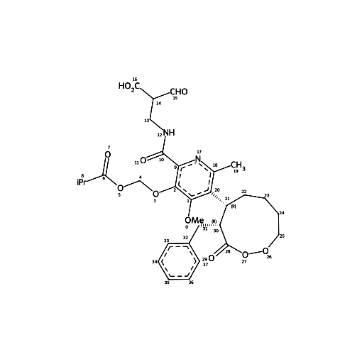 COc1c(OCOC(=O)C(C)C)c(C(=O)NCC(C=O)C(=O)O)nc(C)c1[C@@H]1CCCCOOC(=O)[C@@H]1Cc1ccccc1